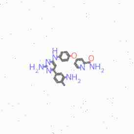 Cc1ccc(-c2cc(Nc3ccc(Oc4ccnc(C(N)=O)c4)cc3)nc(N)n2)cc1N